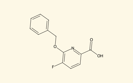 O=C(O)c1ccc(F)c(OCc2ccccc2)n1